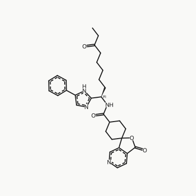 CCC(=O)CCCCC[C@@H](NC(=O)C1CCC2(CC1)OC(=O)c1ccncc12)c1ncc(-c2ccccc2)[nH]1